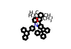 CC1(C)CCC(C)(C)c2cc(-c3cc4c(cc3N(c3ccccc3)c3ccc(-c5cc6ccccc6c6ccccc56)cc3)C(c3ccccc3)(c3ccccc3)c3ccccc3-4)ccc21